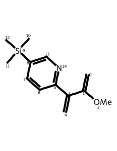 C=C(OC)C(=C)c1ccc([Si](C)(C)C)cn1